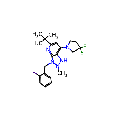 CN1Nc2c(N3CCC(F)(F)C3)cc(C(C)(C)C)nc2N1Cc1ccccc1I